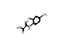 Cc1ccc(NC(=N)C(=O)O)c(Cl)c1